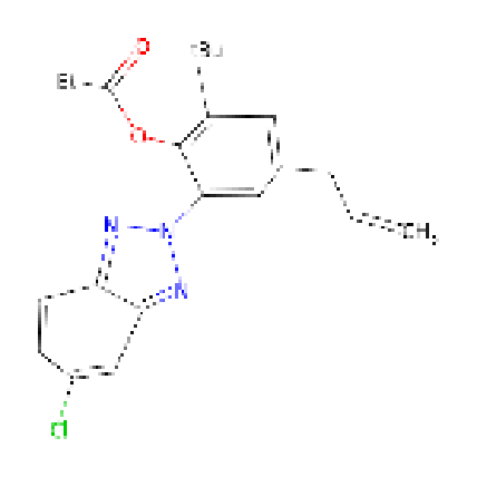 C=CCc1cc(-n2nc3ccc(Cl)cc3n2)c(OC(=O)CC)c(C(C)(C)C)c1